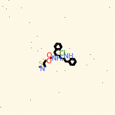 O=C(N[C@H](CC[C@H](Cc1ccccc1)NCl)Cc1ccccc1)OCc1cncs1